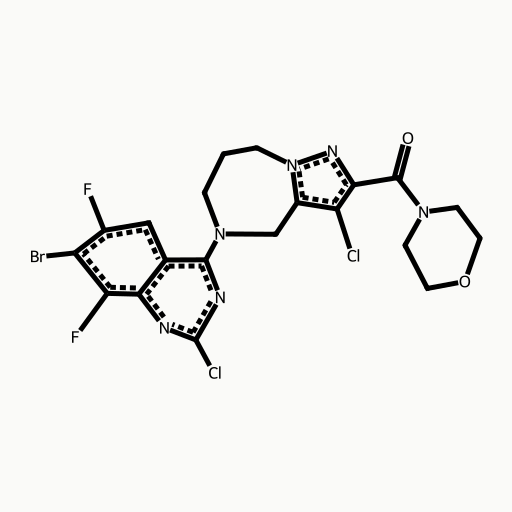 O=C(c1nn2c(c1Cl)CN(c1nc(Cl)nc3c(F)c(Br)c(F)cc13)CCC2)N1CCOCC1